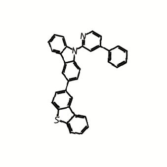 c1ccc(-c2ccnc(-n3c4ccccc4c4cc(-c5ccc6sc7ccccc7c6c5)ccc43)c2)cc1